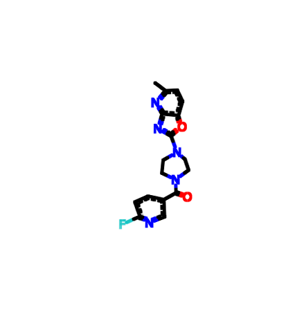 Cc1ccc2oc(N3CCN(C(=O)c4ccc(F)nc4)CC3)nc2n1